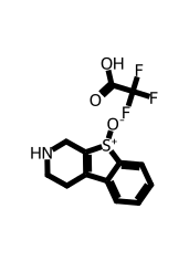 O=C(O)C(F)(F)F.[O-][s+]1c2c(c3ccccc31)CCNC2